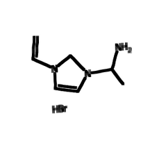 Br.C=CN1C=CN(C(C)N)C1